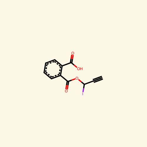 C#CC(I)OC(=O)c1ccccc1C(=O)O